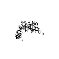 NC(=O)Nc1ccc(C(F)(F)F)cc1C(=O)NCC(=O)N[C@@H]1CCCC[C@@H]1NC(=O)c1ccc(S(N)(=O)=O)cc1